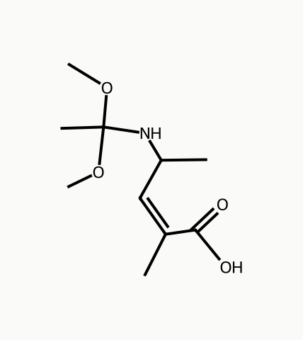 COC(C)(NC(C)C=C(C)C(=O)O)OC